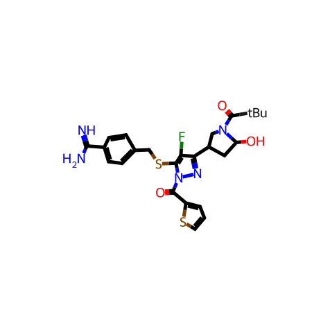 CC(C)(C)C(=O)N1CC(c2nn(C(=O)c3cccs3)c(SCc3ccc(C(=N)N)cc3)c2F)CC1O